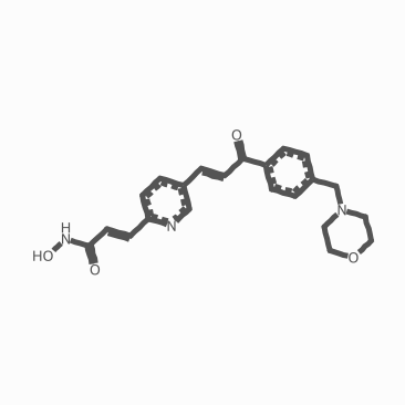 O=C(C=Cc1ccc(C=CC(=O)c2ccc(CN3CCOCC3)cc2)cn1)NO